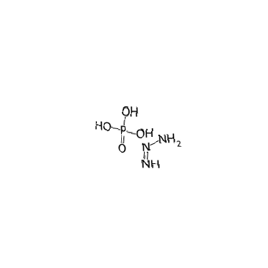 N=NN.O=P(O)(O)O